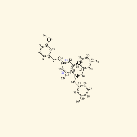 COc1cccc(COC(/C=C(/C)N(C)N(Cc2cccc(C)c2)Cc2cccc(C)c2)=C/C=O)c1